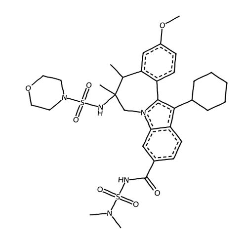 COc1ccc2c(c1)C(C)C(C)(NS(=O)(=O)N1CCOCC1)Cn1c-2c(C2CCCCC2)c2ccc(C(=O)NS(=O)(=O)N(C)C)cc21